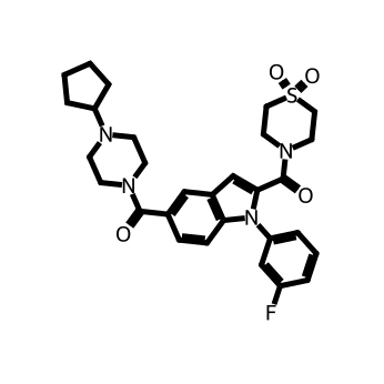 O=C(c1ccc2c(c1)cc(C(=O)N1CCS(=O)(=O)CC1)n2-c1cccc(F)c1)N1CCN(C2CCCC2)CC1